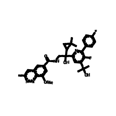 COc1cc(C(=O)NCC(O)(c2cc(C(C)(C)O)c(F)c(-c3ccc(F)cc3)n2)C2CC2(C)C)cc2cc(C)nnc12